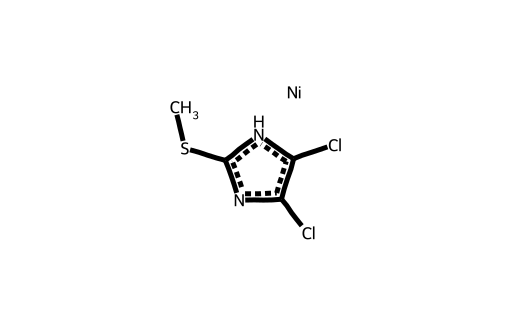 CSc1nc(Cl)c(Cl)[nH]1.[Ni]